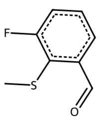 CSc1c(F)cccc1C=O